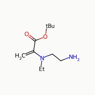 C=C(C(=O)OC(C)(C)C)N(CC)CCN